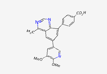 COc1cc(-c2cc(-c3ccc(C(=O)O)cc3)c3ncnc(C)c3c2)cnc1OC